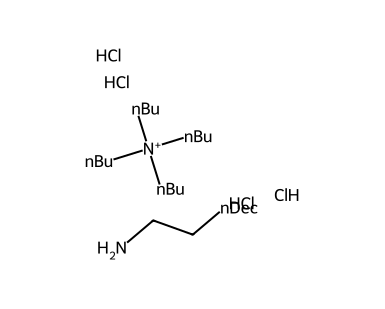 CCCCCCCCCCCCN.CCCC[N+](CCCC)(CCCC)CCCC.Cl.Cl.Cl.Cl